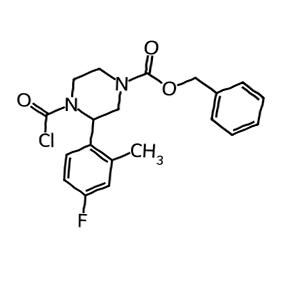 Cc1cc(F)ccc1C1CN(C(=O)OCc2ccccc2)CCN1C(=O)Cl